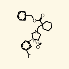 O=C[C@H]1CN(CC2(C(=O)OCc3ccccc3)CCCCC2)C[C@@H]1c1cccc(F)c1